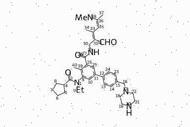 CCN(C(=O)C1CCCC1)c1cc(-c2ccc(CN3CCNCC3)cc2)cc(C(=O)NC/C(C=O)=C(C)/C=C(/C)NC)c1C